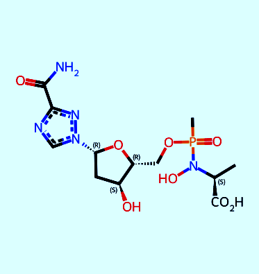 C[C@@H](C(=O)O)N(O)P(C)(=O)OC[C@H]1O[C@@H](n2cnc(C(N)=O)n2)C[C@@H]1O